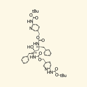 CC(C)(C)OC(=O)Nc1ccc(COC(=O)N[C@@H](Cc2ccccc2)C[C@H](O)[C@H](Cc2ccccc2)NC(=O)OCc2ccc(NC(=O)OC(C)(C)C)nc2)cn1